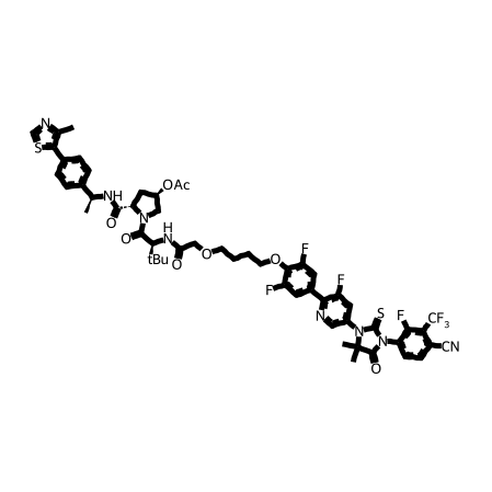 CC(=O)O[C@@H]1C[C@@H](C(=O)N[C@@H](C)c2ccc(-c3scnc3C)cc2)N(C(=O)[C@@H](NC(=O)COCCCCOc2c(F)cc(-c3ncc(N4C(=S)N(c5ccc(C#N)c(C(F)(F)F)c5F)C(=O)C4(C)C)cc3F)cc2F)C(C)(C)C)C1